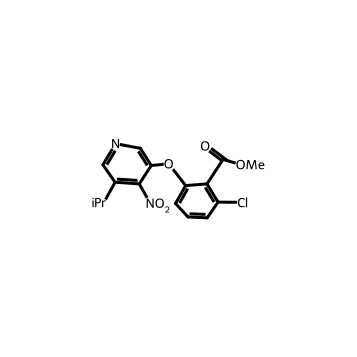 COC(=O)c1c(Cl)cccc1Oc1cncc(C(C)C)c1[N+](=O)[O-]